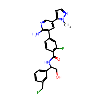 Cn1nccc1-c1cnc(N)c(-c2ccc(C(=O)NC(CO)c3cccc(CF)c3)c(F)c2)c1